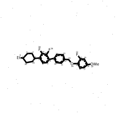 CCC1CCC(c2ccc(-c3ccc(COc4ccc(OC)cc4F)cc3)c(F)c2F)CC1